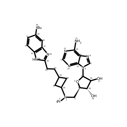 CC(C)N(C[C@H]1OC(n2cnc3c(N)ncnc32)C(O)[C@@H]1O)C1CC(CCc2nc3cc(C(C)(C)C)ccc3[nH]2)C1